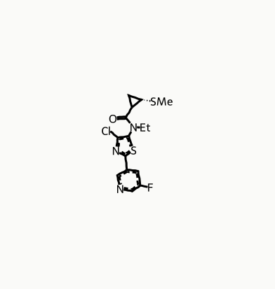 CCN(C(=O)C1C[C@@H]1SC)c1sc(-c2cncc(F)c2)nc1Cl